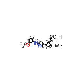 COc1ccc(-c2ccc(NCc3cccc(OC(F)(F)F)c3)nc2)cc1C=CC(=O)O